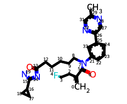 C=C(CCF)C(=O)N(CCCCCc1nc(C2CC2)no1)c1cccc(-c2cnc(C)cn2)c1